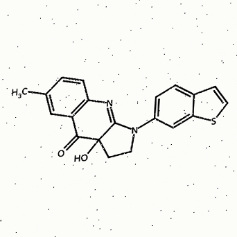 Cc1ccc2c(c1)C(=O)C1(O)CCN(c3ccc4ccsc4c3)C1=N2